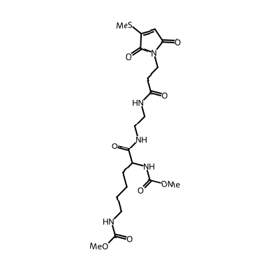 COC(=O)NCCCCC(NC(=O)OC)C(=O)NCCNC(=O)CCN1C(=O)C=C(SC)C1=O